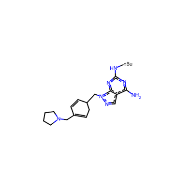 CCCCNc1nc(N)c2cnn(CC3C=CC(CN4CCCC4)=CC3)c2n1